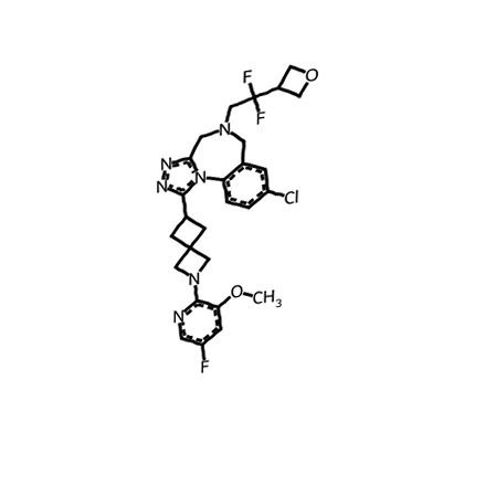 COc1cc(F)cnc1N1CC2(CC(c3nnc4n3-c3ccc(Cl)cc3CN(CC(F)(F)C3COC3)C4)C2)C1